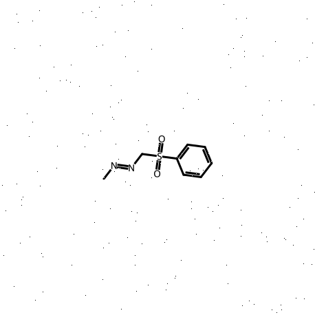 CN=NCS(=O)(=O)c1ccccc1